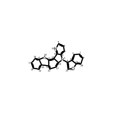 c1ccc2c(-n3c4cccnc4c4c5sc6ccccc6c5ccc43)coc2c1